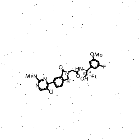 CC[C@H](O)[C@@H](NC(=O)CN1C(=O)c2cc(-c3nc(NC)ncc3Cl)ccc2[C@H]1C)c1cc(F)cc(OC)c1